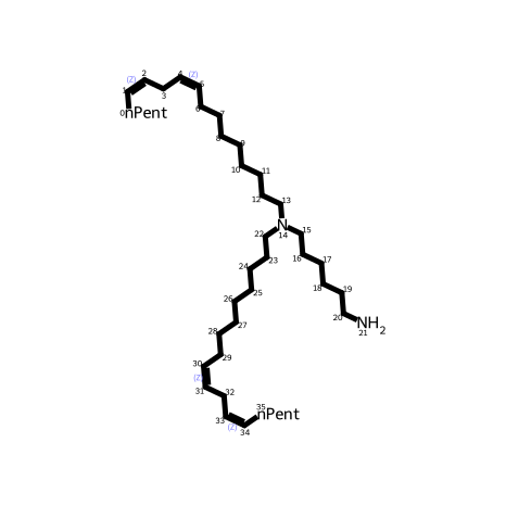 CCCCC/C=C\C/C=C\CCCCCCCCN(CCCCCCN)CCCCCCCC/C=C\C/C=C\CCCCC